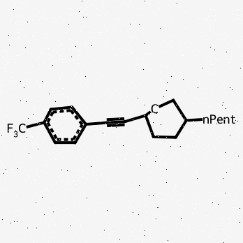 CCCCCC1CCC(C#Cc2ccc(C(F)(F)F)cc2)CC1